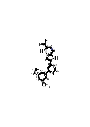 N=C(/C=C\c1ncc(-c2cc(N3C[C@@H](CO)C[C@@H](C(F)(F)F)C3)ncn2)[nH]1)C(F)F